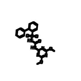 COc1nc(NC(=O)NS(=O)(=O)c2ccccc2-c2ccccc2)nc(OC)n1